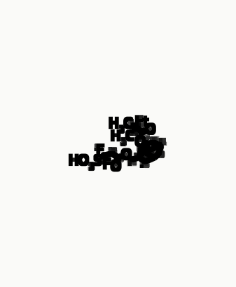 CCC(C)(C)C(=O)OC12CC3CC(CC(COC(=O)CC(F)(F)S(=O)(=O)O)(C3)C1)C2